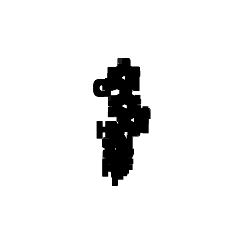 FC(F)(F)c1ccc(Nc2cnnc3cc(-c4ncccc4Cl)ccc23)nc1